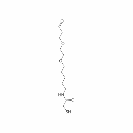 O=CCCOCCOCCCCCNC(=O)CS